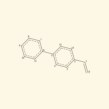 [CH]=Cc1[c]cc(-c2ccccc2)cc1